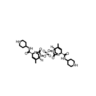 CC1=C[C@@H](C(=O)NC2CCNCC2)N2C[C@@H]1N(OS(=O)(=O)ON1C(=O)N3C[C@H]1C(C)=C[C@H]3C(=O)NC1CCNCC1)C2=O